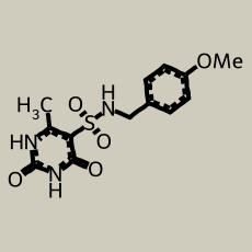 COc1ccc(CNS(=O)(=O)c2c(C)[nH]c(=O)[nH]c2=O)cc1